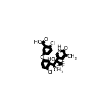 Cc1cc(C(O)(C(C)c2cc(Oc3ccc(Cl)c(C(=O)O)c3)ccc2Cl)C(F)(F)F)c[nH]c1=O